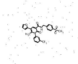 Cc1c(-c2ccco2)cc(C(=O)NCc2ccc(S(C)(=O)=O)cc2)c(=O)n1-c1cccc(C(F)(F)F)c1